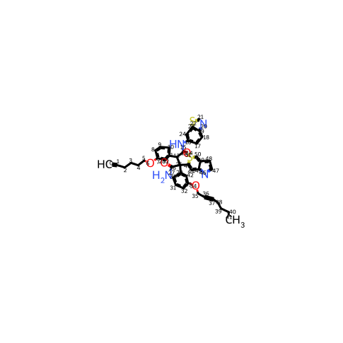 C#CCCCCOc1cccc(C(C(=O)Nc2ccc3ncsc3c2)C(C(N)=O)(c2cccc(OCC#CCCCC)c2)c2cc3nccc-3cs2)c1